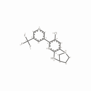 FC(F)(F)c1cncc(-c2nc3c(cc2Cl)N2CCC(C2)N3)c1